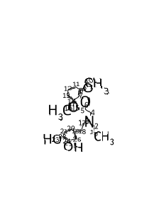 CCCN(CCOc1c(OC)cccc1OC)CCc1ccc(O)c(O)c1